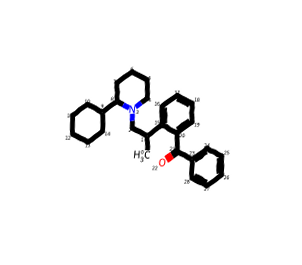 CC(CN1CCCCC1C1CCCCC1)c1ccccc1C(=O)c1ccccc1